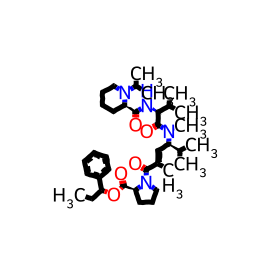 CCC(OC(=O)[C@@H]1CCCN1C(=O)/C(C)=C/[C@H](C(C)C)N(C)C(=O)[C@@H](NC(=O)[C@H]1CCCCN1C(C)C)C(C)C)c1ccccc1